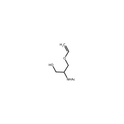 C=COCC(CO)NC(C)=O